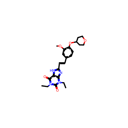 CCn1c(=O)c2[nH]c(C=Cc3ccc(OC4CCOCC4)c(OC)c3)nc2n(CC)c1=O